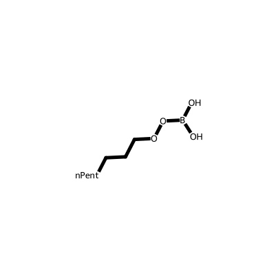 CCCCCCCCOOB(O)O